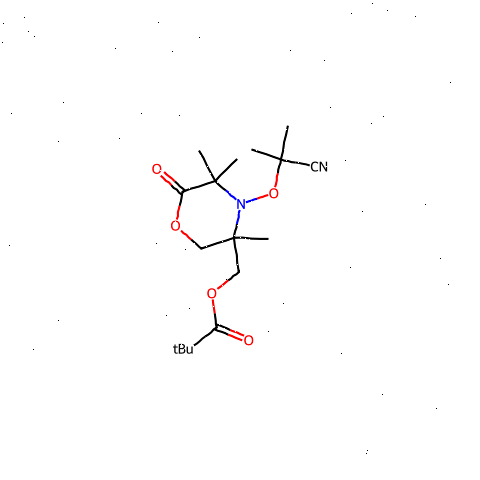 CC(C)(C#N)ON1C(C)(COC(=O)C(C)(C)C)COC(=O)C1(C)C